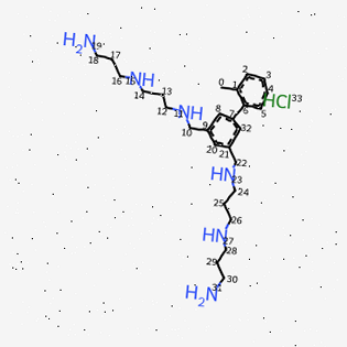 Cc1ccccc1-c1cc(CNCCCNCCCN)cc(CNCCCNCCCN)c1.Cl